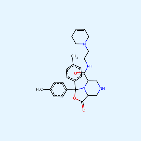 Cc1ccc(C2(c3ccc(C)cc3)OC(=O)C3CNCC(C(=O)NCCN4CC=CCC4)N32)cc1